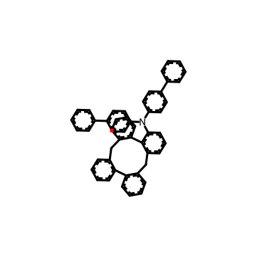 c1ccc(-c2ccc(N(c3ccc(-c4ccccc4)cc3)c3cccc4c3-c3ccccc3Cc3ccccc3-c3ccccc3C4)cc2)cc1